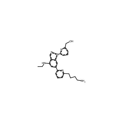 CCNc1cc(-c2cccc(CCCCN)n2)cc2c1cnn2-c1cccc(CO)n1